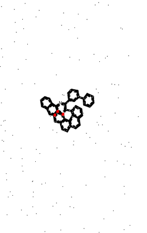 c1ccc(-c2cccc(-c3nc4c(ccc5ccccc54)nc3-c3cccc4ccc5ccc6ccccc6c5c34)c2)cc1